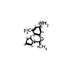 CC(Oc1cc(N)cc(C(F)(F)F)c1)N1C=CCC1